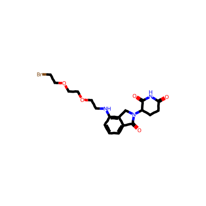 O=C1CCC(N2Cc3c(NCCOCCOCCBr)cccc3C2=O)C(=O)N1